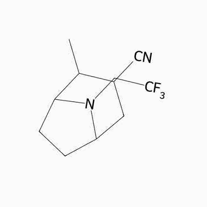 CC1C(C#N)CC2CCC1N2CC(F)(F)F